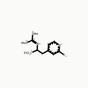 CCOC(=O)C(Cc1ccnc(F)c1)N=C(SC)SC